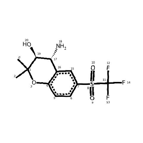 CC1(C)Oc2ccc(S(=O)(=O)C(F)(F)F)cc2[C@@H](N)[C@@H]1O